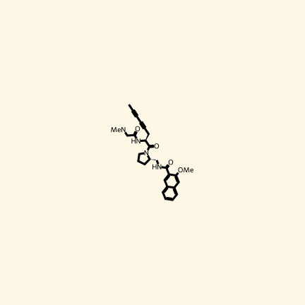 CC#CC#CC[C@H](NC(=O)CNC)C(=O)N1CCC[C@H]1CNC(=O)c1cc2ccccc2cc1OC